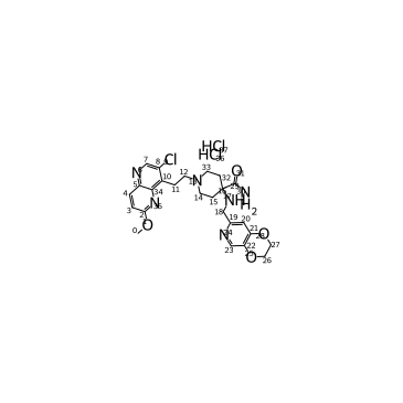 COc1ccc2ncc(Cl)c(CCN3CCC(NCc4cc5c(cn4)OCCO5)(C(N)=O)CC3)c2n1.Cl.Cl